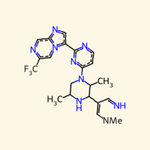 CN/C=C(\C=N)C1NC(C)CN(c2ccnc(-c3cnc4cnc(C(F)(F)F)cn34)n2)C1C